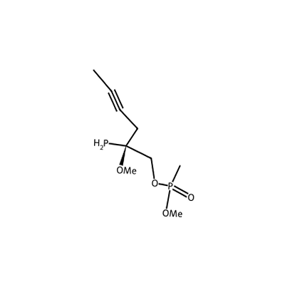 CC#CC[C@@](P)(COP(C)(=O)OC)OC